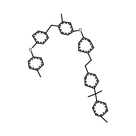 Cc1ccc(Oc2ccc(Cc3ccc(Oc4ccc(CCc5ccc(C(C)(C)c6ccc(C)cc6)cc5)cc4)cc3C)cc2)cc1